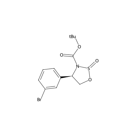 CC(C)(C)OC(=O)N1[C@H](c2cccc(Br)c2)COS1=O